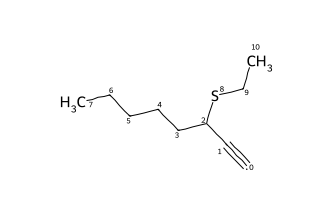 [C]#CC(CCCCC)SCC